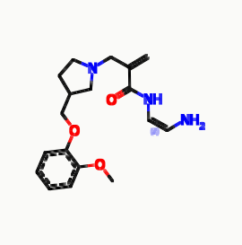 C=C(CN1CCC(COc2ccccc2OC)C1)C(=O)N/C=C\N